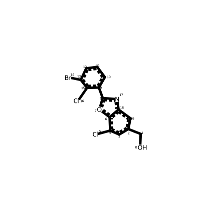 OCc1cc(Cl)c2oc(-c3cccc(Br)c3Cl)nc2c1